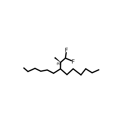 CCCCCCC(CCCCCC)[C@@H](C)C(F)F